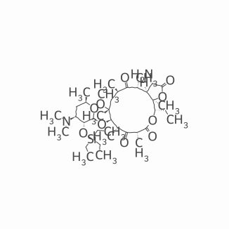 CC[C@@H]1OC(=O)[C@H](C)C(=O)[C@H](C)[C@@H](OC2O[C@H](C)C[C@H](N(C)C)[C@H]2O[Si](CC)(CC)CC)[C@](C)(OC)C[C@@H](C)C(=O)[C@H](C)[C@H]2[C@H](N)C(=O)O[C@]21C